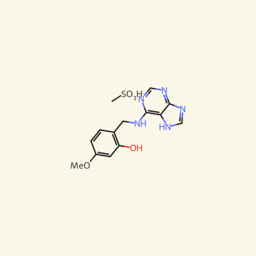 COc1ccc(CNc2ncnc3nc[nH]c23)c(O)c1.CS(=O)(=O)O